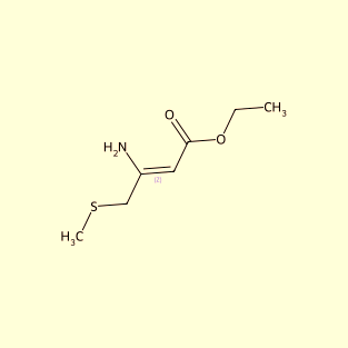 CCOC(=O)/C=C(\N)CSC